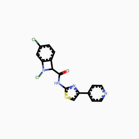 O=C(Nc1nc(-c2ccncc2)cs1)C1c2ccc(Cl)cc2N1Cl